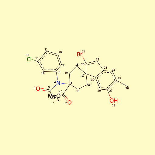 COC(=O)C1(N(C(=O)C(F)(F)F)c2cccc(Cl)c2)CCC2(CC1)C(Br)=Cc1cc(C)c(O)cc12